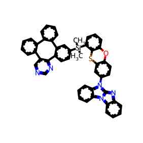 C[Si](C)(c1ccc2c(c1)-c1ccccc1-c1ccccc1-c1cncnc1-2)c1cccc2c1Sc1cc(-n3c4ccccc4n4c5ccccc5nc34)ccc1O2